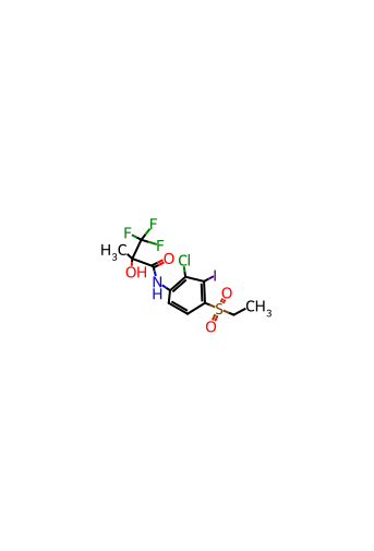 CCS(=O)(=O)c1ccc(NC(=O)C(C)(O)C(F)(F)F)c(Cl)c1I